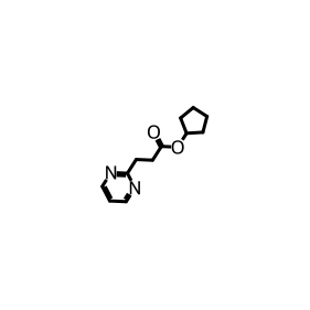 O=C(CCc1ncccn1)OC1CCCC1